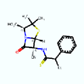 CCC(C(=S)N[C@@]1(C#N)C(=O)N2[C@@H](C(=O)O)C(C)(C)S[C@@H]21)c1ccccc1